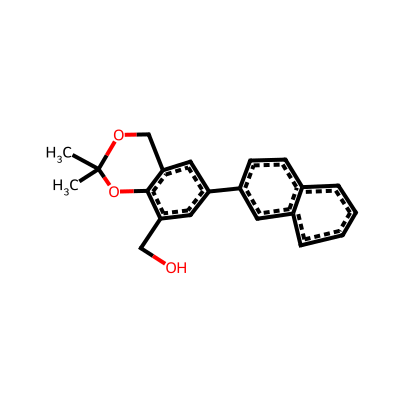 CC1(C)OCc2cc(-c3ccc4ccccc4c3)cc(CO)c2O1